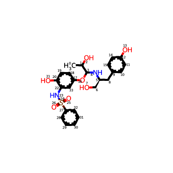 CC(O)C(N[C@H](CO)Cc1ccc(O)cc1)Oc1ccc(O)c(NS(=O)(=O)c2ccccc2)c1